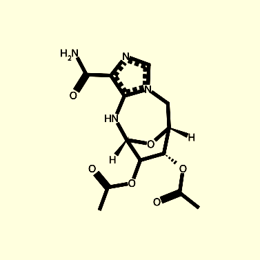 CC(=O)OC1[C@@H]2Nc3c(C(N)=O)ncn3C[C@@H](O2)[C@@H]1OC(C)=O